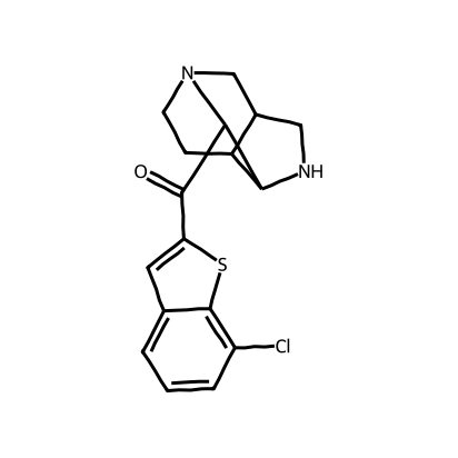 O=C(c1cc2cccc(Cl)c2s1)C1C2NCC3CN1CCC32